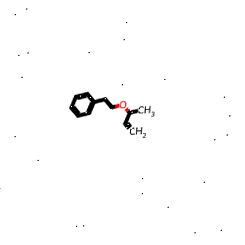 C=CC(C)OCCc1ccccc1